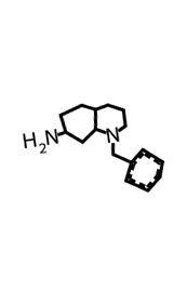 NC1CCC2CCCN(Cc3ccccc3)C2C1